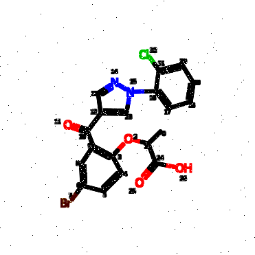 CC(Oc1ccc(Br)cc1C(=O)c1cnn(-c2ccccc2Cl)c1)C(=O)O